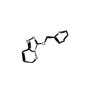 c1ccc(COc2nnc3cccnn23)nc1